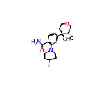 CC1CCN(c2cc(C3(C=O)CCOCC3)ccc2C(N)=O)CC1